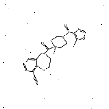 Cc1ocnc1C(=O)N1CCC(F)(C(=O)N2CCOc3c(C#N)cncc3C2)CC1